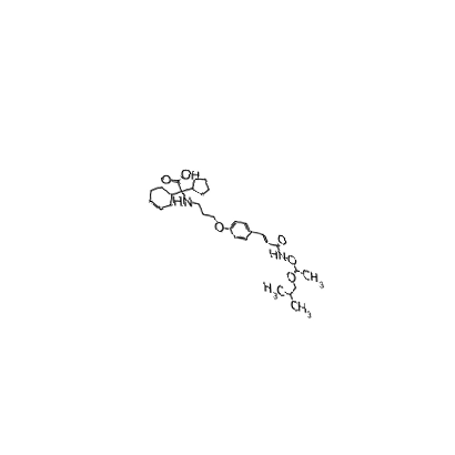 CC(C)COC(C)ONC(=O)C=Cc1ccc(OCCCN[C@](C(=O)O)(C2CCCCC2)C2CCCC2)cc1